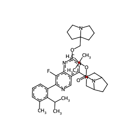 Cc1cccc(-c2ncc3c(N4CC5CCC(C4)N5C(=O)OC(C)(C)C)nc(OCC45CCCN4CCC5)nc3c2F)c1C(C)C